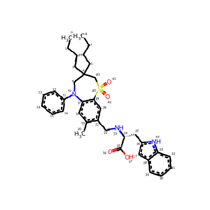 CCCCC1(CCCC)CN(c2ccccc2)c2cc(C)c(CN[C@H](Cc3cc4ccccc4[nH]3)C(=O)O)cc2S(=O)(=O)C1